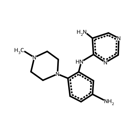 CN1CCN(c2ccc(N)cc2Nc2ncncc2N)CC1